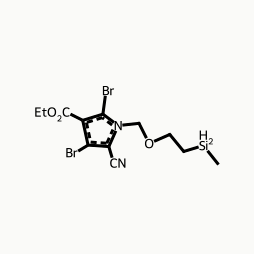 CCOC(=O)c1c(Br)c(C#N)n(COCC[SiH2]C)c1Br